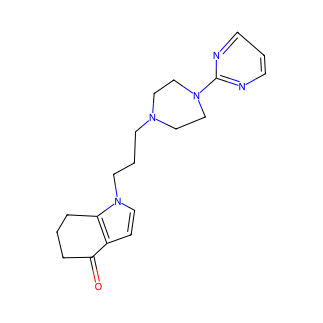 O=C1CCCc2c1ccn2CCCN1CCN(c2ncccn2)CC1